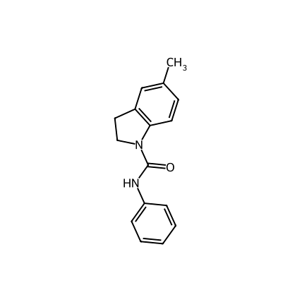 Cc1ccc2c(c1)CCN2C(=O)Nc1ccccc1